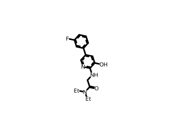 CCN(CC)C(=O)CNc1ncc(-c2cccc(F)c2)cc1O